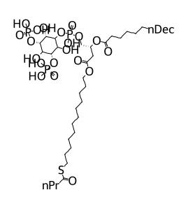 CCCCCCCCCCCCCCCC(=O)O[C@@H](COP(=O)(O)OC1C(O)[C@H](OP(=O)(O)O)C(O)[C@H](OP(=O)(O)O)[C@@H]1O)CC(=O)OCCCCCCCCCCCCSC(=O)CCC